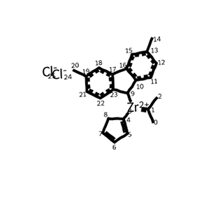 C[C](C)=[Zr+2]([C]1=CC=CC1)[CH]1c2ccc(C)cc2-c2cc(C)ccc21.[Cl-].[Cl-]